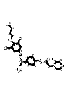 CN(SOc1cc(Cl)c(OCCCCl)c(Cl)c1)c1ccc(OCC(O)CN2CCOCC2)cc1.S